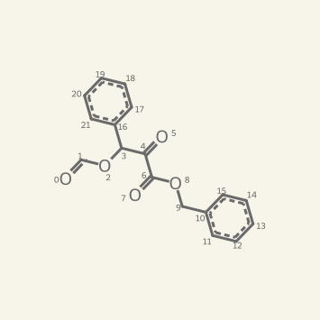 O=[C]OC(C(=O)C(=O)OCc1ccccc1)c1ccccc1